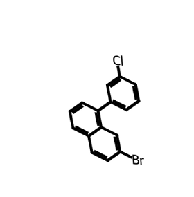 Clc1cccc(-c2cccc3ccc(Br)cc23)c1